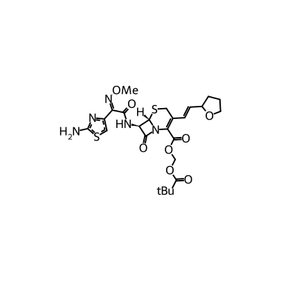 CO/N=C(\C(=O)N[C@@H]1C(=O)N2C(C(=O)OCOC(=O)C(C)(C)C)=C(/C=C/C3CCCO3)CS[C@@H]12)c1csc(N)n1